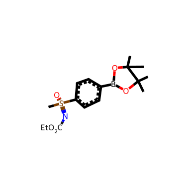 CCOC(=O)N=S(C)(=O)c1ccc(B2OC(C)(C)C(C)(C)O2)cc1